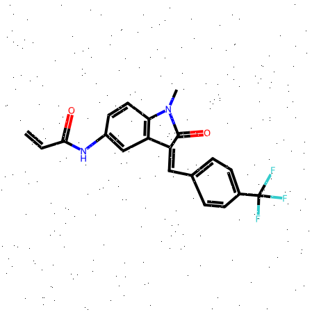 C=CC(=O)Nc1ccc2c(c1)C(=Cc1ccc(C(F)(F)F)cc1)C(=O)N2C